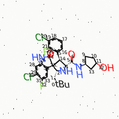 CC(C)(C)C[C@H]1N[C@@H](C(=O)N[C@H]2CC[C@@H](O)C2)[C@H](c2cccc(Cl)c2F)[C@@]12C(=O)Nc1cc(Cl)c(F)cc12